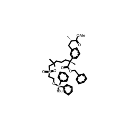 COC(=O)[C@@H](C)Cc1cccc([C@@](C)(CCCC(C)(C)CS(=O)(=O)CCO[Si](c2ccccc2)(c2ccccc2)C(C)(C)C)C(=O)OCc2ccccc2)c1